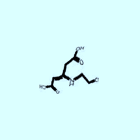 O=C(O)/C=C(/CC(=O)O)NCCCl